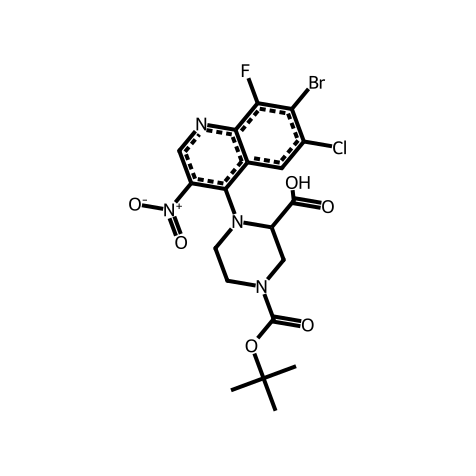 CC(C)(C)OC(=O)N1CCN(c2c([N+](=O)[O-])cnc3c(F)c(Br)c(Cl)cc23)C(C(=O)O)C1